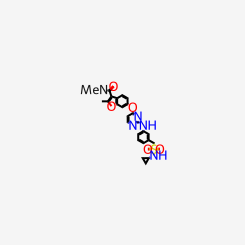 CNC(=O)c1c(C)oc2cc(Oc3ccnc(Nc4cccc(CS(=O)(=O)NC5CC5)c4)n3)ccc12